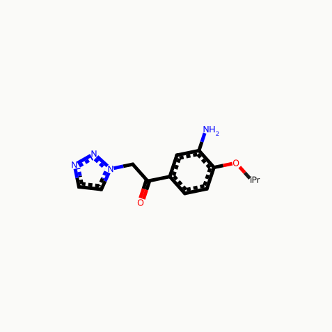 CC(C)Oc1ccc(C(=O)Cn2ccnn2)cc1N